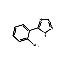 Nc1ccccc1-c1nnn[nH]1